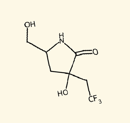 O=C1NC(CO)CC1(O)CC(F)(F)F